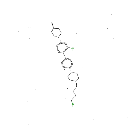 C[C@H]1CC[C@H](c2ccc(-c3ccc([C@H]4CC[C@H](CCCCF)CC4)cc3)c(F)c2)CC1